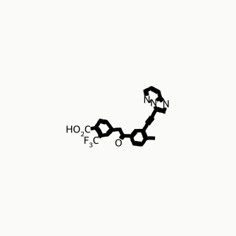 Cc1ccc(C(=O)Cc2ccc(C(=O)O)c(C(F)(F)F)c2)cc1C#Cc1cnc2cccnn12